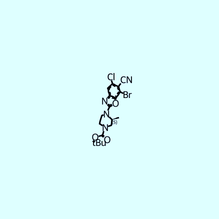 C[C@H]1CN(C(=O)OC(C)(C)C)CCN1c1nc2cc(Cl)c(C#N)c(Br)c2o1